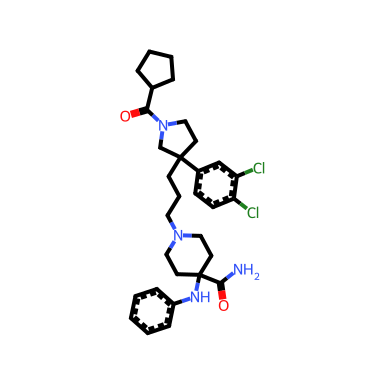 NC(=O)C1(Nc2ccccc2)CCN(CCCC2(c3ccc(Cl)c(Cl)c3)CCN(C(=O)C3CCCC3)C2)CC1